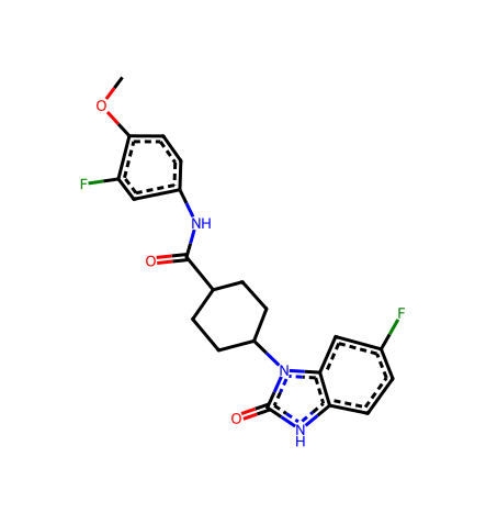 COc1ccc(NC(=O)C2CCC(n3c(=O)[nH]c4ccc(F)cc43)CC2)cc1F